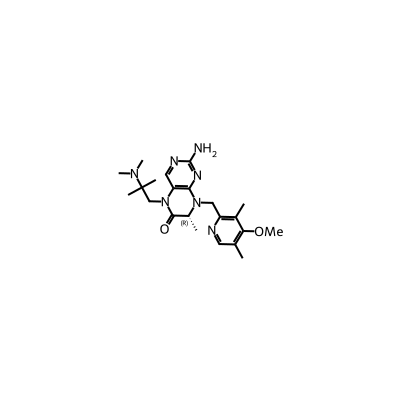 COc1c(C)cnc(CN2c3nc(N)ncc3N(CC(C)(C)N(C)C)C(=O)[C@H]2C)c1C